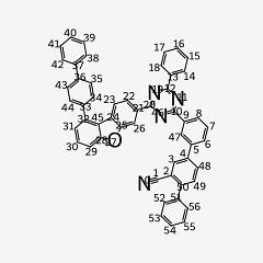 N#Cc1cc(-c2cccc(-c3nc(-c4ccccc4)nc(-c4ccc5c(c4)oc4cccc(-c6ccc(-c7ccccc7)cc6)c45)n3)c2)ccc1-c1ccccc1